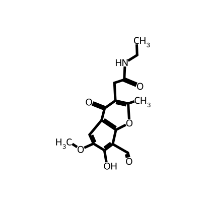 CCNC(=O)Cc1c(C)oc2c(C=O)c(O)c(OC)cc2c1=O